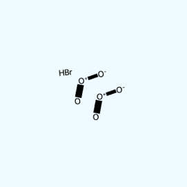 Br.O=[O+][O-].O=[O+][O-]